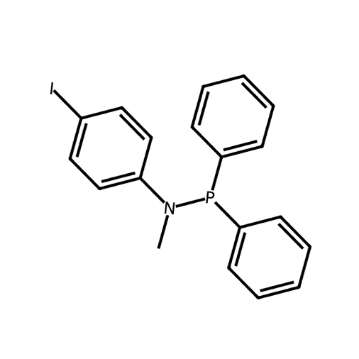 CN(c1ccc(I)cc1)P(c1ccccc1)c1ccccc1